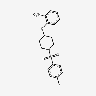 Cc1ccc(S(=O)(=O)N2CCC(Oc3ccccc3[N+](=O)[O-])CC2)cc1